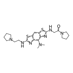 CN(C)c1c2nc(NCCN3CCCC3)sc2cc2sc(NCC(=O)N3CCCC3)nc12